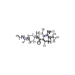 C=C/N=C(\C)N1CCC(NC(=O)C(=C(C)C)/C(CC)=C(/N=C)NC2(C)CC2)CC1